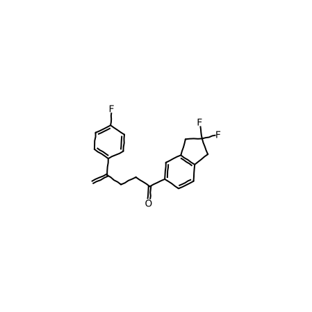 C=C(CCC(=O)c1ccc2c(c1)CC(F)(F)C2)c1ccc(F)cc1